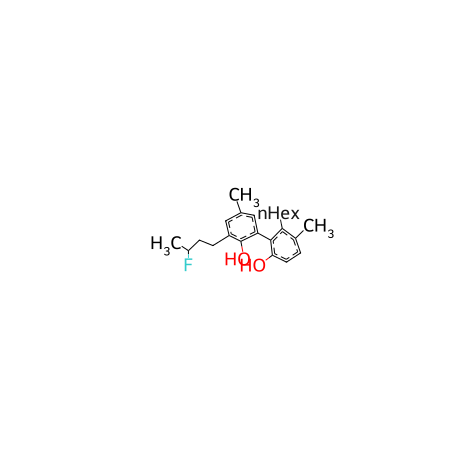 CCCCCCc1c(C)ccc(O)c1-c1cc(C)cc(CCC(C)F)c1O